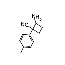 Cc1ccc(C2(C#N)CCC2N)cc1